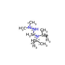 CN(C)N[SiH2]N([SiH](C)C)[SiH](C)C